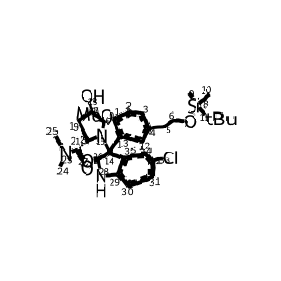 COc1ccc(CCO[Si](C)(C)C(C)(C)C)cc1C1(N2C[C@H](O)C[C@H]2C(=O)N(C)C)C(=O)Nc2ccc(Cl)cc21